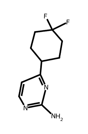 Nc1nccc(C2CCC(F)(F)CC2)n1